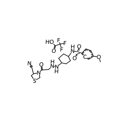 COc1ccc(S(=O)(=O)NC2CCC(NNCC(=O)N3CSCC3C#N)CC2)cc1.O=C(O)C(F)(F)F